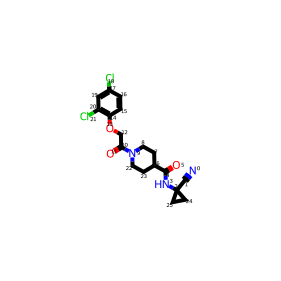 N#CC1(NC(=O)C2CCN(C(=O)COc3ccc(Cl)cc3Cl)CC2)CC1